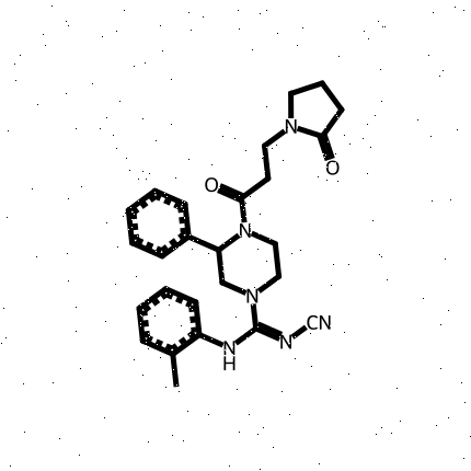 Cc1ccccc1N/C(=N/C#N)N1CCN(C(=O)CCN2CCCC2=O)C(c2ccccc2)C1